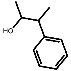 CC(O)C(C)c1cc[c]cc1